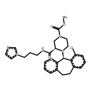 CC(C)(C)OC(=O)N1CCN([C@@H]2c3ncccc3CCc3cccc(Cl)c32)[C@@H](C(=O)NCCCn2ccnc2)C1